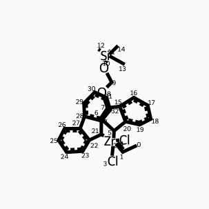 C[CH]=[Zr]([Cl])([Cl])([CH]1C=C(OCO[Si](C)(C)C)c2ccccc21)[CH]1c2ccccc2-c2ccccc21